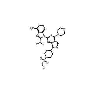 Cc1cccc2c1nc(C(F)F)n2-c1nc(N2CCOCC2)c2cnn(C3CCN(S(=O)(=O)CCl)CC3)c2n1